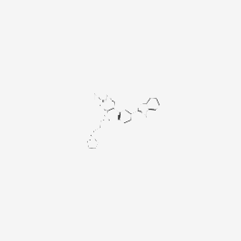 Nc1ncc(-c2cccc(-c3nc4ccccc4s3)c2)c(NCCCN2CCCC2)n1